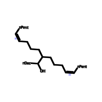 CCCCC/C=C\CCCC(CCC/C=C\CCCCC)C(O)CCCCCCCCCC